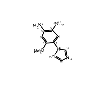 COc1cc(N)c(N)cc1-n1cncn1